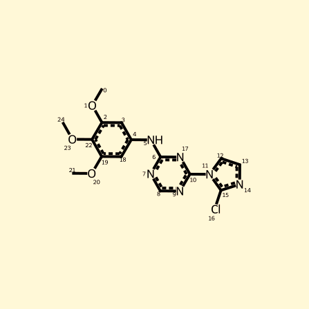 COc1cc(Nc2ncnc(-n3ccnc3Cl)n2)cc(OC)c1OC